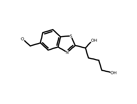 [O]Cc1ccc2sc(C(O)CCCO)nc2c1